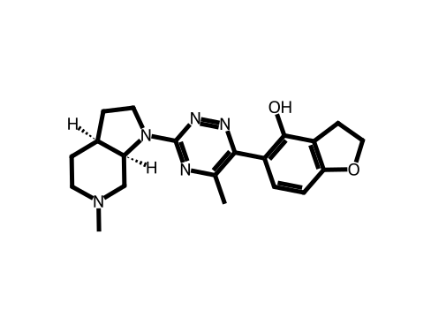 Cc1nc(N2CC[C@@H]3CCN(C)C[C@@H]32)nnc1-c1ccc2c(c1O)CCO2